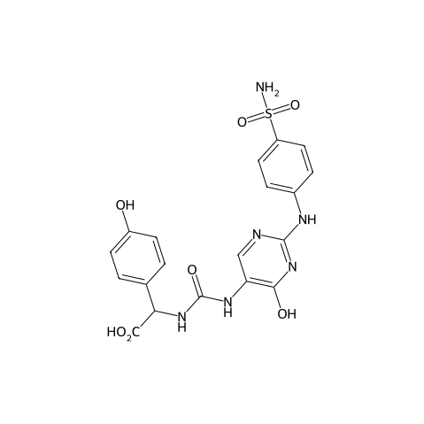 NS(=O)(=O)c1ccc(Nc2ncc(NC(=O)NC(C(=O)O)c3ccc(O)cc3)c(O)n2)cc1